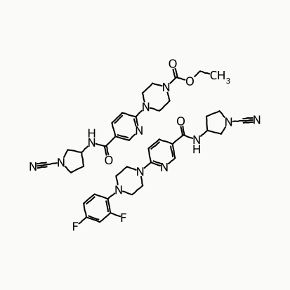 CCOC(=O)N1CCN(c2ccc(C(=O)NC3CCN(C#N)C3)cn2)CC1.N#CN1CCC(NC(=O)c2ccc(N3CCN(c4ccc(F)cc4F)CC3)nc2)C1